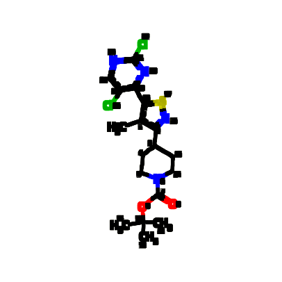 Cc1c(C2CCN(C(=O)OC(C)(C)C)CC2)nsc1-c1nc(Cl)ncc1Cl